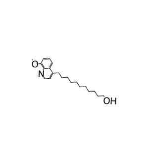 COc1cccc2c(CCCCCCCCCCCO)ccnc12